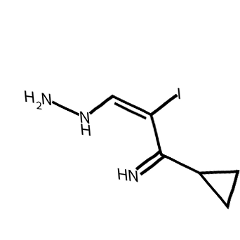 N=C(/C(I)=C\NN)C1CC1